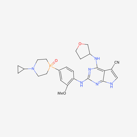 COc1cc(P2(=O)CCN(C3CC3)CC2)ccc1Nc1nc(NC2CCOC2)c2c(C#N)c[nH]c2n1